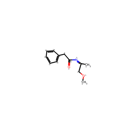 COCC(C)=NC(=O)Cc1ccccc1